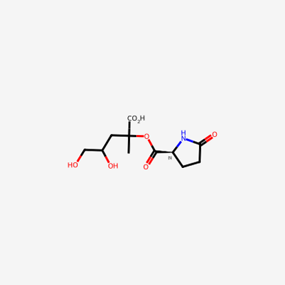 CC(CC(O)CO)(OC(=O)[C@@H]1CCC(=O)N1)C(=O)O